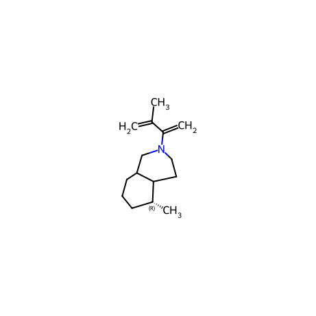 C=C(C)C(=C)N1CCC2C(CCC[C@H]2C)C1